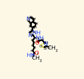 CNC(=O)CCCCCC(NC(=O)Cc1nc(C)cs1)c1ncc(-c2ccc3ccncc3c2)[nH]1